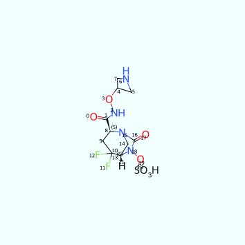 O=C(NOC1CNC1)[C@@H]1CC(F)(F)[C@@H]2CN1C(=O)N2OS(=O)(=O)O